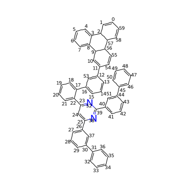 C1=CC2c3ccccc3C3C=C(c4cccc(-c5ccccc5-c5cc(-c6cccc(-c7ccccc7)c6)nc(-c6cccc(-c7ccccc7)c6)n5)c4)C=CC3C2C=C1